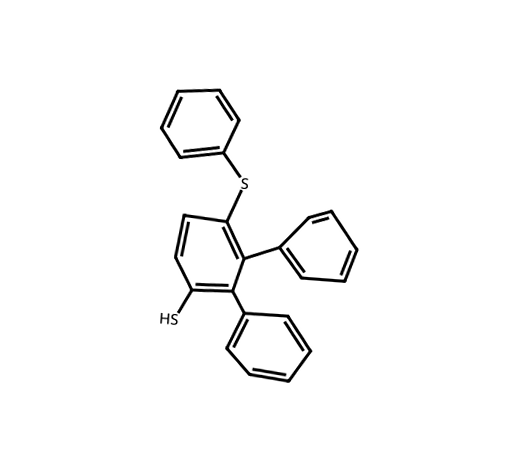 Sc1ccc(Sc2ccccc2)c(-c2ccccc2)c1-c1ccccc1